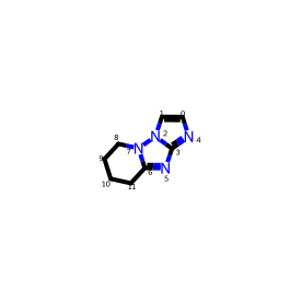 c1cn2c(n1)nc1n2CCCC1